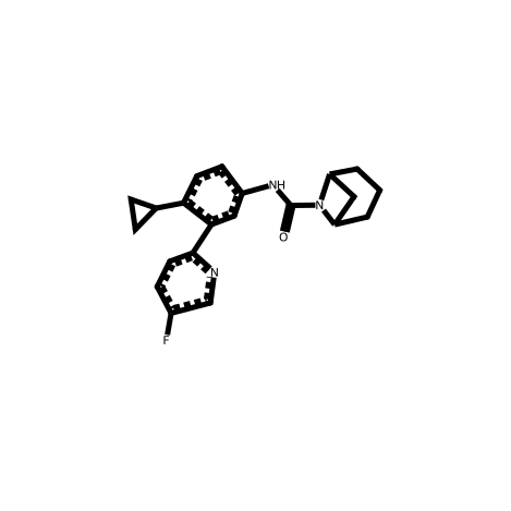 O=C(Nc1ccc(C2CC2)c(-c2ccc(F)cn2)c1)N1C2CCCC1C2